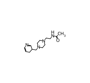 CC(=O)NCCN1CCN(CC2C=NC=CC2)CC1